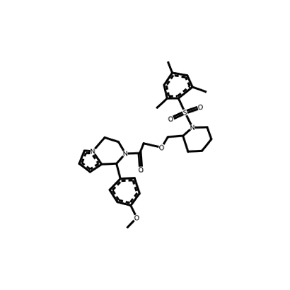 COc1ccc(C2c3cccn3CCN2C(=O)COCC2CCCCN2S(=O)(=O)c2c(C)cc(C)cc2C)cc1